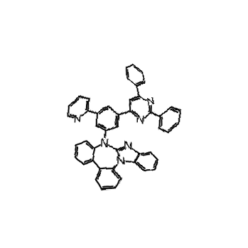 c1ccc(-c2cc(-c3cc(-c4ccccn4)cc(N4c5ccccc5-c5ccccc5-n5c4nc4ccccc45)c3)nc(-c3ccccc3)n2)cc1